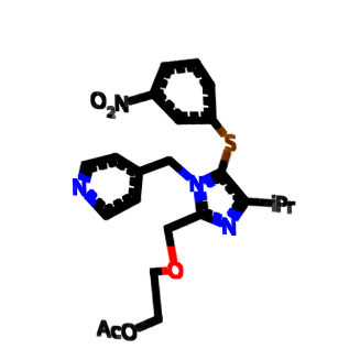 CC(=O)OCCOCc1nc(C(C)C)c(Sc2cccc([N+](=O)[O-])c2)n1Cc1ccncc1